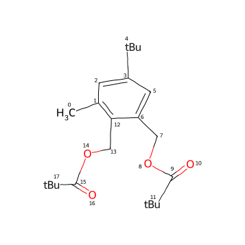 Cc1cc(C(C)(C)C)cc(COC(=O)C(C)(C)C)c1COC(=O)C(C)(C)C